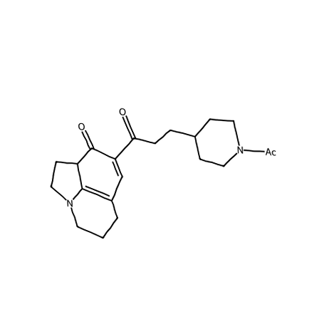 CC(=O)N1CCC(CCC(=O)C2=CC3=C4C(CCN4CCC3)C2=O)CC1